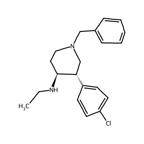 CCN[C@H]1CCN(Cc2ccccc2)C[C@@H]1c1ccc(Cl)cc1